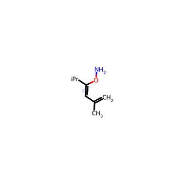 C=C(C)/C=C(\ON)C(C)C